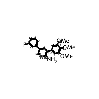 COc1cc(-c2cc(-c3cccc(F)c3)cnc2N)cc(OC)c1OC